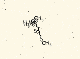 CCCCCCCC(=S)CCC[Si](OC)(OC)OC